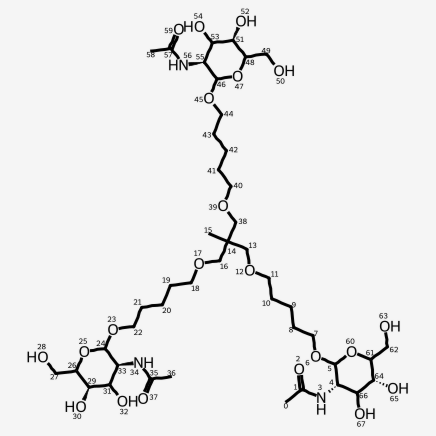 CC(=O)N[C@@H]1C(OCCCCCOCC(C)(COCCCCCOC2OC(CO)[C@H](O)C(O)[C@@H]2NC(C)=O)COCCCCCOC2OC(CO)[C@H](O)C(O)[C@@H]2NC(C)=O)OC(CO)[C@H](O)C1O